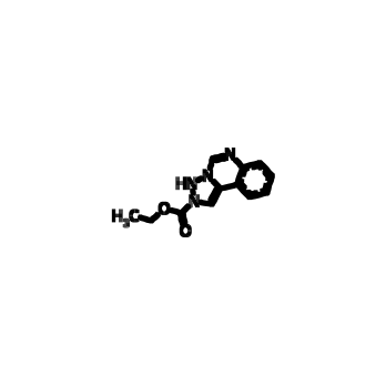 CCOC(=O)N1C=C2c3ccccc3N=CN2N1